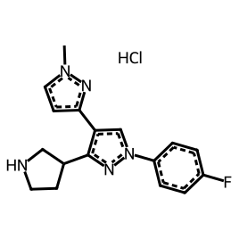 Cl.Cn1ccc(-c2cn(-c3ccc(F)cc3)nc2C2CCNC2)n1